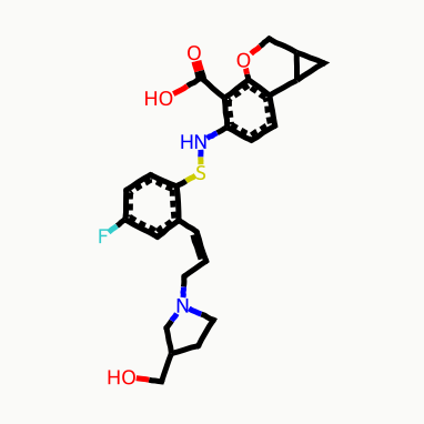 O=C(O)c1c(NSc2ccc(F)cc2/C=C\CN2CCC(CO)C2)ccc2c1OCC1CC21